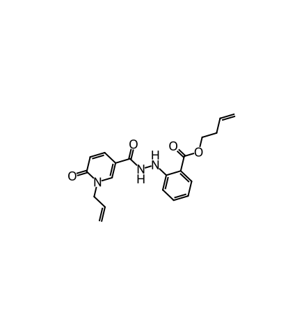 C=CCCOC(=O)c1ccccc1NNC(=O)c1ccc(=O)n(CC=C)c1